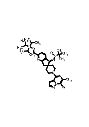 Cc1nc(N2CCC3(CC2)Cc2nc(CO[Si](C(C)C)(C(C)C)C(C)C)ccc2C3=N[S+]([O-])C(C)(C)C)c2ccnn2c1Br